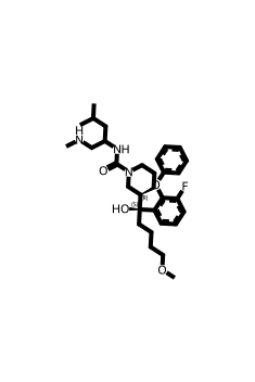 CNCC(CC(C)C)NC(=O)N1CCC[C@@H]([C@@](O)(CCCCOC)c2cccc(F)c2Oc2ccccc2)C1